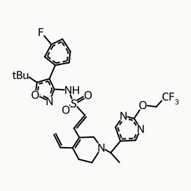 C=CC1=C(/C=C/S(=O)(=O)Nc2noc(C(C)(C)C)c2-c2cccc(F)c2)CN(C(C)c2cnc(OCC(F)(F)F)nc2)CC1